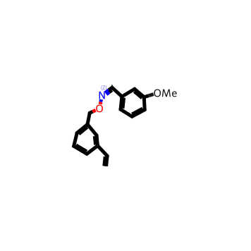 C=Cc1cccc(CO/N=[C]\c2cccc(OC)c2)c1